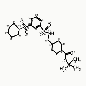 CC(C)(C)OC(=O)C1CCC(CNS(=O)(=O)c2cccc(S(=O)(=O)N3CCCCC3)c2)CC1